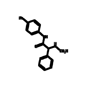 CC(C)c1ccc(NC(=O)C(NC(=O)O)c2ccccc2)cc1